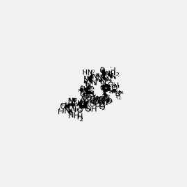 CNc1ncnc2c1ncn2[C@@H]1O[C@H](COP(=O)(O)OP(=O)(O)OP(=O)(O)OC[C@H]2OC(n3c[n+](C)c4c(=O)[nH]c(N)nc43)[C@H](O)[C@@H]2CC(=O)N(C)C)[C@@H](P(=O)([O-])OC[C@H]2O[C@@H](n3cnc4c(=O)[nH]c(N)nc43)[C@H](O)[C@@H]2O)[C@H]1OC